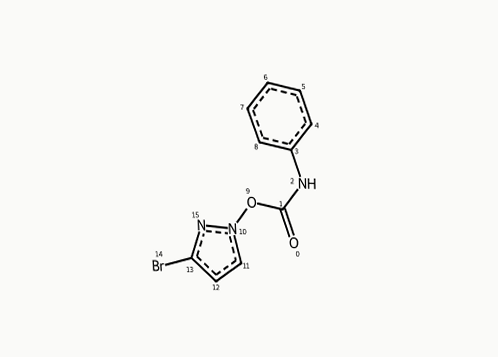 O=C(Nc1ccccc1)On1ccc(Br)n1